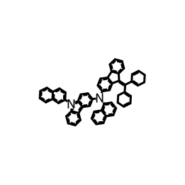 C1=CCCC(/C(C2=CCCC=C2)=C2/c3ccccc3-c3ccc(N(c4ccc5c(c4)c4ccccc4n5-c4ccc5ccccc5c4)c4cccc5ccccc45)cc32)=C1